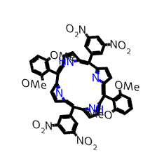 COc1cccc(OC)c1-c1c2nc(c(-c3cc([N+](=O)[O-])cc([N+](=O)[O-])c3)c3ccc([nH]3)c(-c3c(OC)cccc3OC)c3nc(c(-c4cc([N+](=O)[O-])cc([N+](=O)[O-])c4)c4ccc1[nH]4)C=C3)C=C2